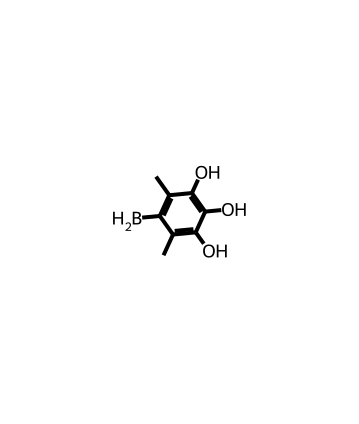 Bc1c(C)c(O)c(O)c(O)c1C